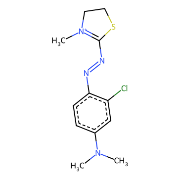 CN(C)c1ccc(N=NC2=[N+](C)CCS2)c(Cl)c1